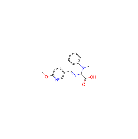 COc1ccc(C=NC(C(=O)O)N(C)c2ccccc2)cn1